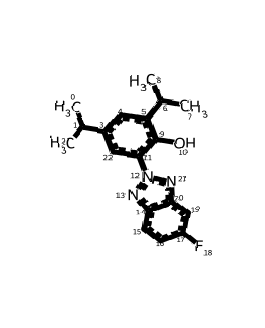 CC(C)c1cc(C(C)C)c(O)c(-n2nc3ccc(F)cc3n2)c1